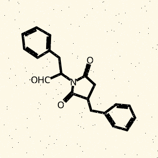 O=[C]C(Cc1ccccc1)N1C(=O)CC(Cc2ccccc2)C1=O